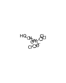 C[C@@H](Oc1ccc(Cl)cc1)[C@@H]1CN(C(=O)CN2CCC(CO)CC2)C[C@H]1c1ccc(Cl)c(Cl)c1